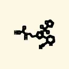 N#Cc1ncccc1-c1cc(CCNC(=O)O)cn1S(=O)(=O)c1ccco1